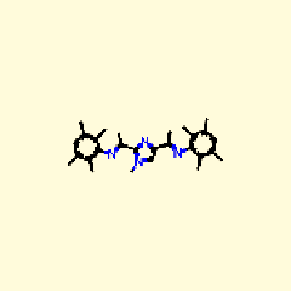 C/C(=N\c1c(C)c(C)cc(C)c1C)c1cn(C)c(/C(C)=N/c2c(C)c(C)cc(C)c2C)n1